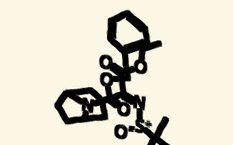 CCOC(=O)/C(=N/[S@@+]([O-])C(C)(C)C)C1CC2CCC(C1)N2C(=O)OCc1ccccc1